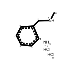 CNCc1ccccc1.Cl.Cl.N